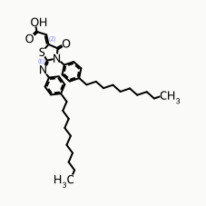 CCCCCCCCCCc1ccc(/N=C2/S/C(=C\C(=O)O)C(=O)N2c2ccc(CCCCCCCCCC)cc2)cc1